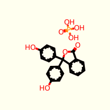 O=C1OC(c2ccc(O)cc2)(c2ccc(O)cc2)c2ccccc21.O=P(O)(O)O